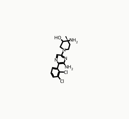 C[C@@]1(N)CCN(c2cnc(-c3cccc(Cl)c3Cl)c(N)n2)CC1O